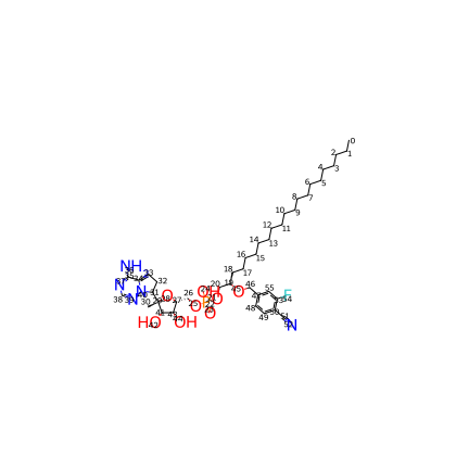 CCCCCCCCCCCCCCCCCCC[C@H](COP(=O)(O)OC[C@H]1O[C@@](C)(C2CC=C3C(N)=NC=NN32)[C@H](O)[C@@H]1O)OCc1ccc(C#N)c(F)c1